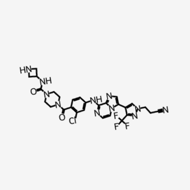 N#CCCn1cc(-c2cnc3c(Nc4ccc(C(=O)N5CCN(C(=O)NC6CNC6)CC5)c(Cl)c4)nccn23)c(C(F)(F)F)n1